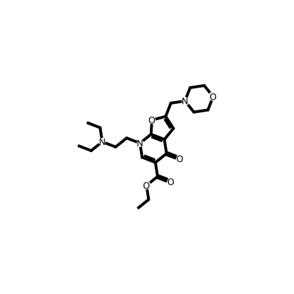 CCOC(=O)c1cn(CCN(CC)CC)c2oc(CN3CCOCC3)cc2c1=O